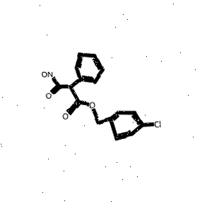 O=NC(=O)C(C(=O)OCc1ccc(Cl)cc1)c1ccccc1